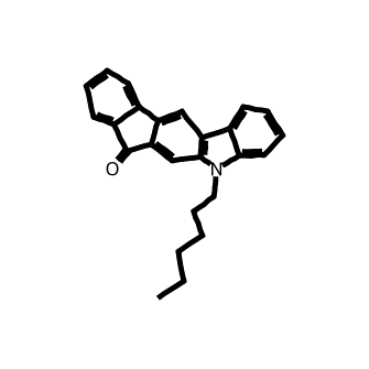 CCCCCCn1c2ccccc2c2cc3c(cc21)C(=O)c1ccccc1-3